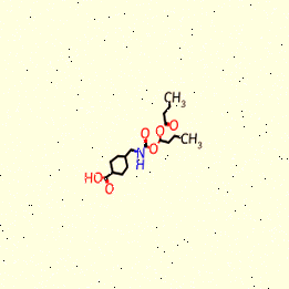 CCCC(=O)OC(CCC)OC(=O)NCC1CCC(C(=O)O)CC1